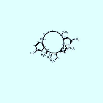 C=C(C)/C=C1/N(C)CCCCNc2ccc(C)cc2C(=C)N(C)C(CC)c2cc(C)n1n2